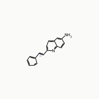 Nc1ccc2nc(/C=C/c3ccccc3)ccc2c1